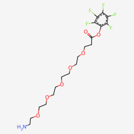 NCCOCCOCCOCCOCCOCCC(=O)Oc1c(F)c(F)c(F)c(F)c1F